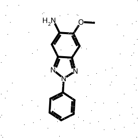 COc1cc2nn(-c3ccccc3)nc2cc1N